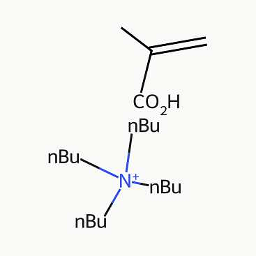 C=C(C)C(=O)O.CCCC[N+](CCCC)(CCCC)CCCC